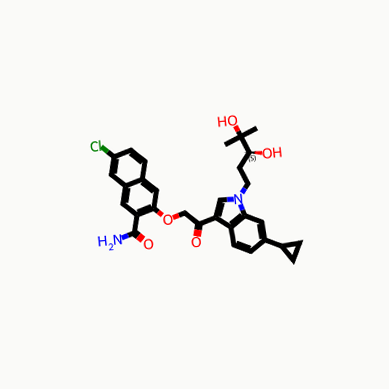 CC(C)(O)[C@@H](O)CCn1cc(C(=O)COc2cc3ccc(Cl)cc3cc2C(N)=O)c2ccc(C3CC3)cc21